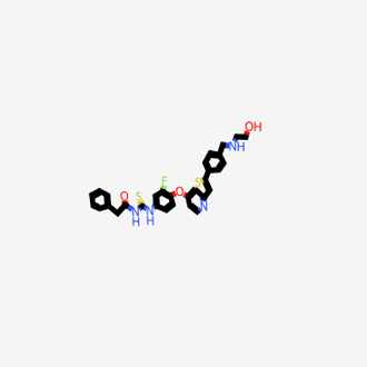 O=C(Cc1ccccc1)NC(=S)Nc1ccc(Oc2ccnc3cc(-c4ccc(CNCCO)cc4)sc23)c(F)c1